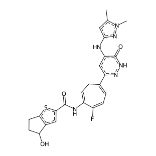 Cc1cc(Nc2cc(C3=CC=C(F)C(NC(=O)c4cc5c(s4)CCC5O)=CC3)n[nH]c2=O)nn1C